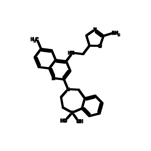 Cc1ccc2nc(N3CCS(O)(O)c4ccccc4C3)cc(NCC3CN=C(N)O3)c2c1